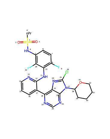 CCCS(=O)(=O)Nc1ccc(F)c(Nc2ncccc2-c2ncnc3c2nc(Cl)n3C2CCCCO2)c1F